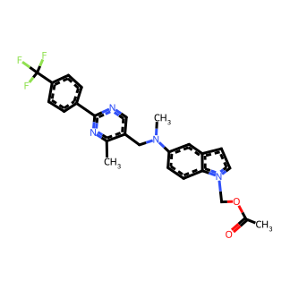 CC(=O)OCn1ccc2cc(N(C)Cc3cnc(-c4ccc(C(F)(F)F)cc4)nc3C)ccc21